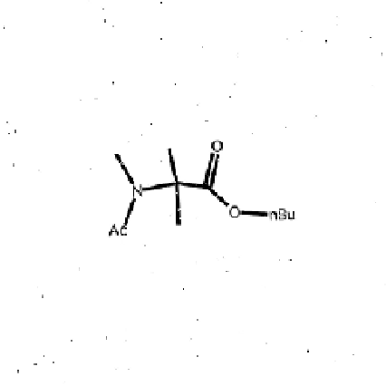 CCCCOC(=O)C(C)(C)N(C)C(C)=O